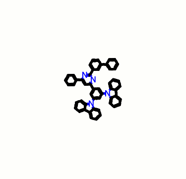 c1ccc(-c2cccc(-c3nc(-c4ccccc4)cc(-c4cc(-n5c6ccccc6c6ccccc65)cc(-n5c6ccccc6c6ccccc65)c4)n3)c2)cc1